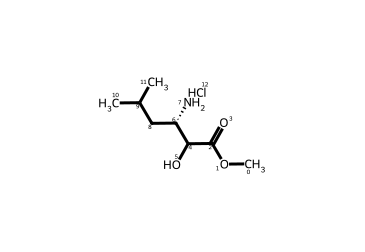 COC(=O)C(O)[C@@H](N)CC(C)C.Cl